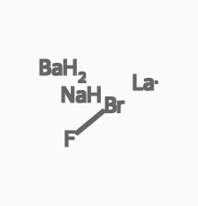 FBr.[BaH2].[La].[NaH]